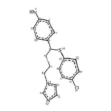 CC(C)(C)c1ccc(C(CCCn2ccnc2)Sc2ccc(Cl)cc2)cc1